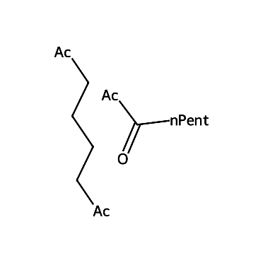 CC(=O)CCCCC(C)=O.CCCCCC(=O)C(C)=O